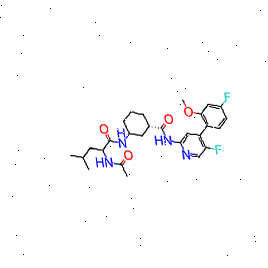 COc1cc(F)ccc1-c1cc(NC(=O)[C@H]2CCCC(NC(=O)[C@H](CC(C)C)NC(C)=O)C2)ncc1F